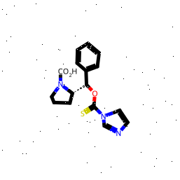 O=C(O)N1CCC[C@H]1C(OC(=S)n1ccnc1)c1ccccc1